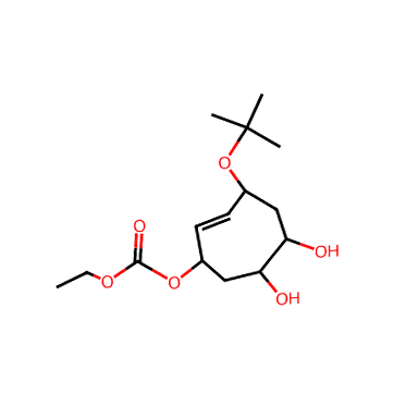 CCOC(=O)OC1/C=C/C(OC(C)(C)C)CC(O)C(O)C1